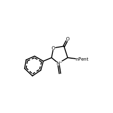 C=[N+]1C(CCCCC)C(=O)OC1c1ccccc1